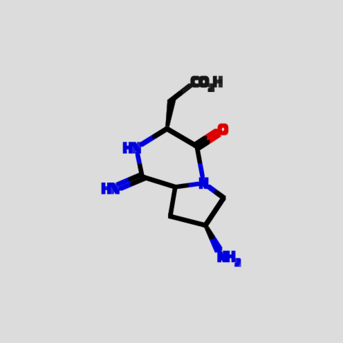 N=C1N[C@@H](CC(=O)O)C(=O)N2C[C@@H](N)CC12